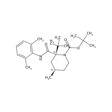 Cc1cccc(C)c1NC(=O)[C@@]1(C(C)(C)C)C[C@H](C)CCN1C(=O)OC(C)(C)C